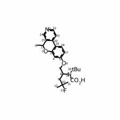 CC1Oc2cc(OCC(CC(C)(C)F)N(C(=O)O)C(C)(C)C)ccc2-c2ccncc21